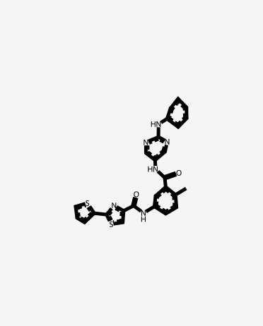 Cc1ccc(NC(=O)c2csc(-c3cccs3)n2)cc1C(=O)Nc1cnc(Nc2ccccc2)nc1